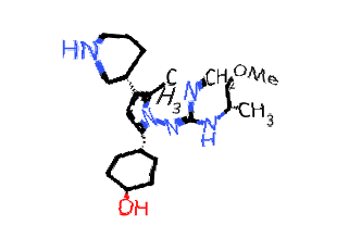 C=N/C(=N\n1c(C)c([C@H]2CCCNC2)cc1[C@H]1CC[C@H](O)CC1)N[C@@H](C)COC